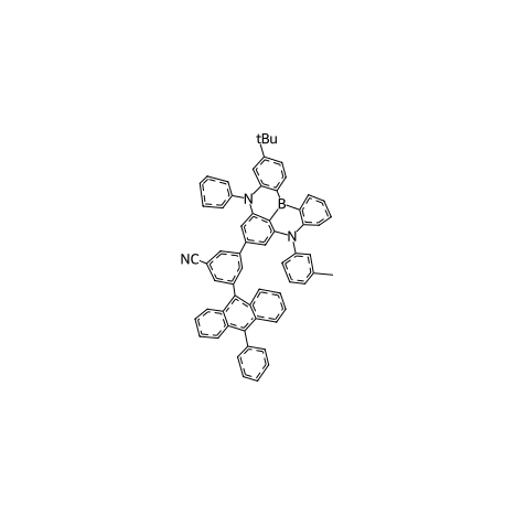 Cc1cccc(N2c3ccccc3B3c4ccc(C(C)(C)C)cc4N(c4ccccc4)c4cc(-c5cc(C#N)cc(-c6c7ccccc7c(-c7ccccc7)c7ccccc67)c5)cc2c43)c1